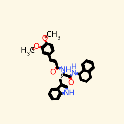 COc1ccc(C=CC(=O)N[C@@H](Cc2c[nH]c3ccccc23)C(=O)NC2CCCc3ccccc32)cc1OC